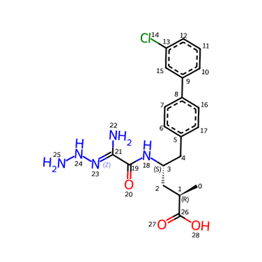 C[C@H](C[C@@H](Cc1ccc(-c2cccc(Cl)c2)cc1)NC(=O)/C(N)=N/NN)C(=O)O